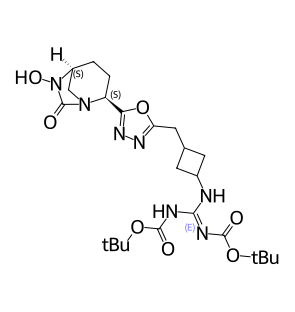 CC(C)(C)OC(=O)/N=C(/NC(=O)OC(C)(C)C)NC1CC(Cc2nnc([C@@H]3CC[C@H]4CN3C(=O)N4O)o2)C1